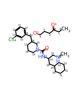 CCC(=O)CCCO[C@@H](c1cccc(Cl)c1)C1CCCN(C(=O)NC(CNC)CC2CCCCC2)C1